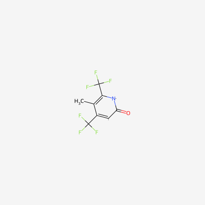 CC1=C(C(F)(F)F)[N]C(=O)[C]=C1C(F)(F)F